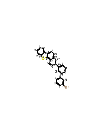 Brc1cccc(-c2cccc(-c3ccc4c(ccc5c6ccccc6sc45)c3)c2)c1